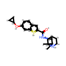 CC1(C)C(NC(=O)c2cc3ccc(OC4CC4)cc3s2)C2CCN1CC2